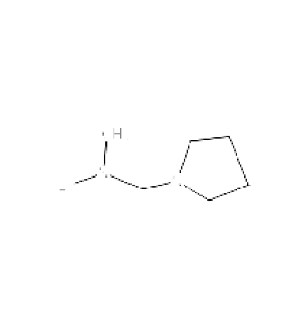 CCN(C)CN1CCCC1